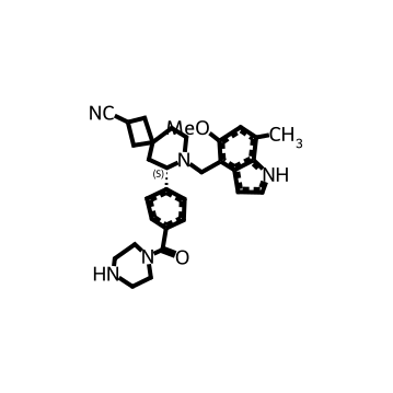 COc1cc(C)c2[nH]ccc2c1CN1CCC2(CC(C#N)C2)C[C@H]1c1ccc(C(=O)N2CCNCC2)cc1